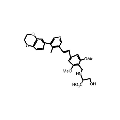 COc1cc(/C=C/c2cncc(-c3ccc4c(c3)OCCO4)c2C)cc(OC)c1CN[C@@H](CO)C(=O)O